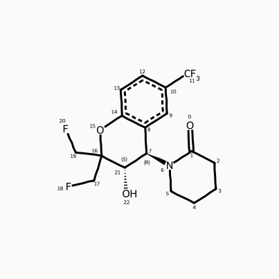 O=C1CCCCN1[C@@H]1c2cc(C(F)(F)F)ccc2OC(CF)(CF)[C@H]1O